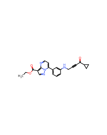 CCOC(=O)c1cnn2c(-c3cccc(NCC#CC(=O)C4CC4)c3)ccnc12